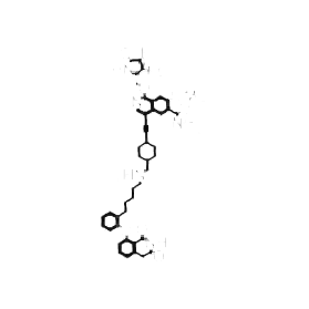 CC[C@@H]1[C@H](F)C(=O)N[C@@H]1COc1ncc(C#CC2CCC(CNCCCCCc3ccccc3Oc3cccc4c3C(=O)NC(=O)C4)CC2)c2cc(C(N)=O)c(OC)cc12